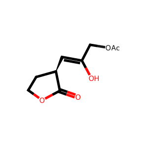 CC(=O)OCC(O)=C[C@@H]1CCOC1=O